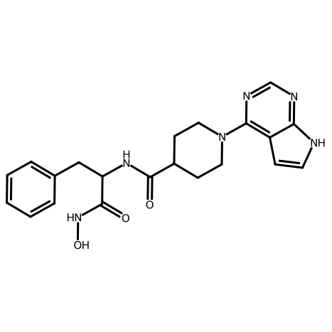 O=C(NC(Cc1ccccc1)C(=O)NO)C1CCN(c2ncnc3[nH]ccc23)CC1